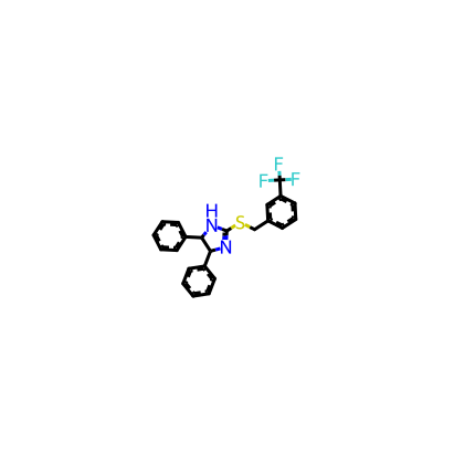 FC(F)(F)c1cccc(CSC2=NC(c3ccccc3)C(c3ccccc3)N2)c1